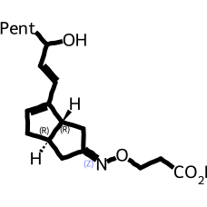 CCCCCC(O)C=CC1=CC[C@@H]2C/C(=N/OCCC(=O)O)C[C@@H]12